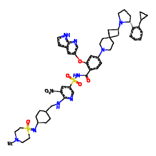 CCN1CCS(=O)(=NC2CCC(CNc3ncc(S(=O)(=O)NC(=O)c4ccc(N5CCC6(CC5)CC(N5CCC[C@@H]5c5ccccc5C5CC5)C6)cc4Oc4cnc5[nH]ccc5c4)cc3[N+](=O)[O-])CC2)CC1